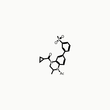 CC(=O)N1c2ccc(-c3cccc(S(C)(=O)=O)c3)cc2N(C(=O)C2CC2)CC1C